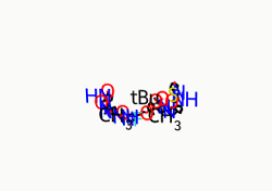 Cc1c(OCCCC2(F)CCN(CC(=O)Nc3ccc4c(C5CCC(=O)NC5=O)nn(C)c4c3)CC2)cccc1-c1ccc(N2CCc3cccc(C(=O)Nc4nc5ccccc5s4)c3C2)nc1C(=O)OC(C)(C)C